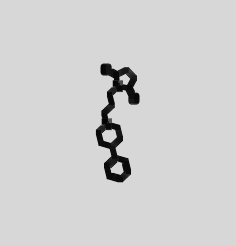 O=C1CCC(=O)N1CCCN1CCC(c2ccccc2)CC1